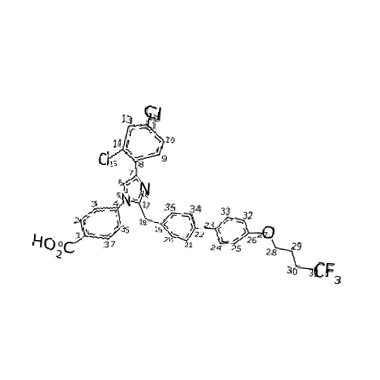 O=C(O)c1ccc(-n2cc(-c3ccc(Cl)cc3Cl)nc2Cc2ccc(-c3ccc(OCCCC(F)(F)F)cc3)cc2)cc1